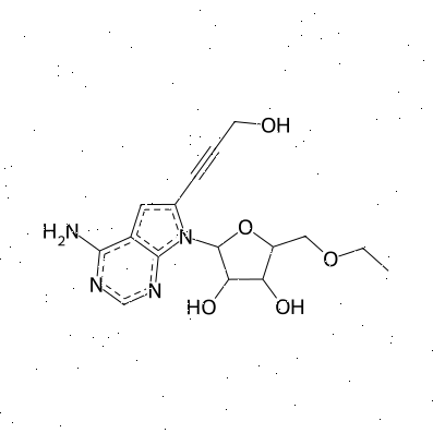 CCOCC1OC(n2c(C#CCO)cc3c(N)ncnc32)C(O)C1O